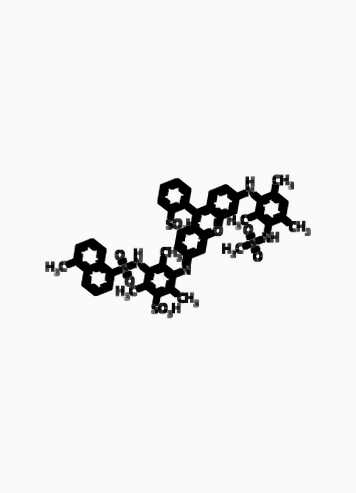 Cc1cc(C)c(NS(C)(=O)=O)c(C)c1Nc1ccc2c(-c3ccccc3S(=O)(=O)O)c3cc/c(=N\c4c(C)c(NS(=O)(=O)c5cccc6c(C)cccc56)c(C)c(S(=O)(=O)O)c4C)cc-3oc2c1